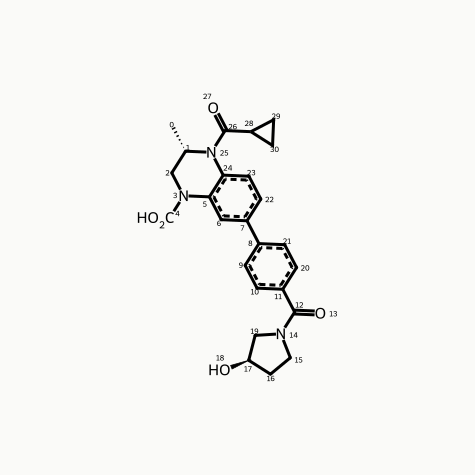 C[C@H]1CN(C(=O)O)c2cc(-c3ccc(C(=O)N4CC[C@@H](O)C4)cc3)ccc2N1C(=O)C1CC1